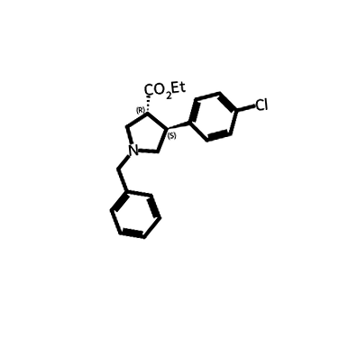 CCOC(=O)[C@H]1CN(Cc2ccccc2)C[C@@H]1c1ccc(Cl)cc1